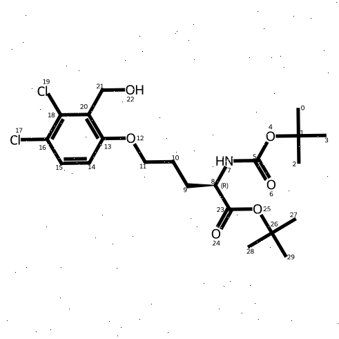 CC(C)(C)OC(=O)N[C@H](CCCOc1ccc(Cl)c(Cl)c1CO)C(=O)OC(C)(C)C